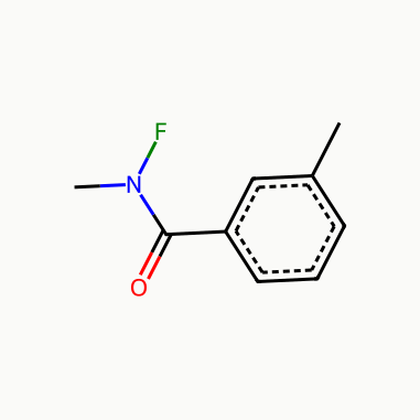 Cc1cccc(C(=O)N(C)F)c1